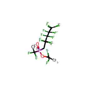 O=P(CC(F)(F)C(F)(F)C(F)(F)C(F)F)(OC(F)(F)C(F)(F)F)C(F)(F)C(F)(F)F